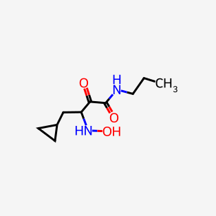 CCCNC(=O)C(=O)C(CC1CC1)NO